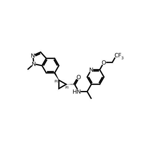 CC(NC(=O)[C@@H]1C[C@H]1c1ccc2cnn(C)c2c1)c1ccc(OCC(F)(F)F)nc1